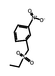 CCS(=O)(=O)Cc1cccc([N+](=O)[O-])c1